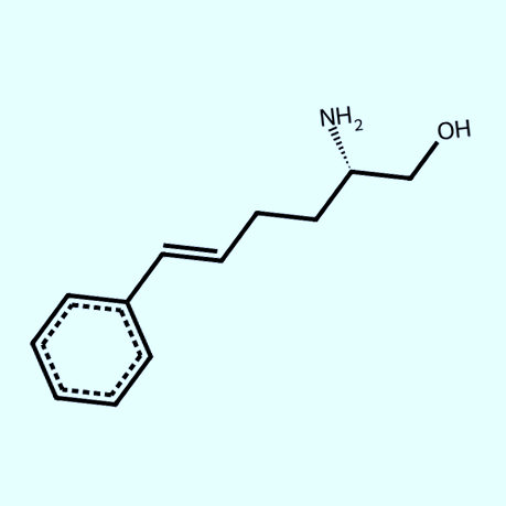 N[C@H](CO)CC/C=C/c1ccccc1